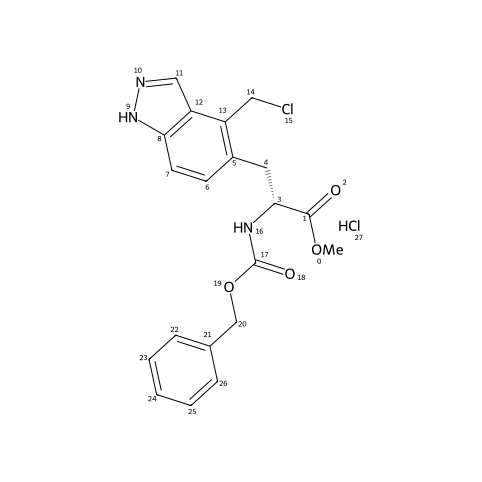 COC(=O)[C@@H](Cc1ccc2[nH]ncc2c1CCl)NC(=O)OCc1ccccc1.Cl